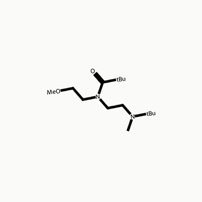 COCCN(CCN(C)C(C)(C)C)C(=O)C(C)(C)C